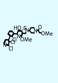 COCC(=O)N1CCC(N(Cc2ccc(-c3cccc(-c4ccnc(Cl)c4Cl)c3Cl)nc2OC)C(=O)O)CC1